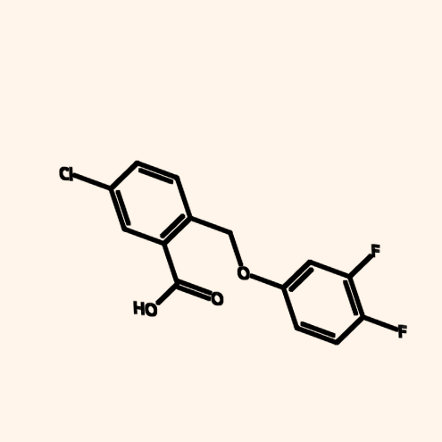 O=C(O)c1cc(Cl)ccc1COc1ccc(F)c(F)c1